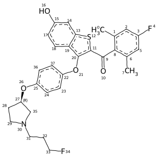 Cc1cc(F)cc(C)c1C(=O)c1sc2cc(O)ccc2c1Oc1ccc(O[C@@H]2CCN(CCCF)C2)cc1